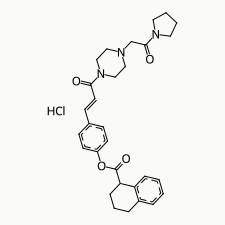 Cl.O=C(Oc1ccc(C=CC(=O)N2CCN(CC(=O)N3CCCC3)CC2)cc1)C1CCCc2ccccc21